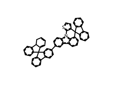 C1=CCC2C(=C1)C1(c3ccccc3-c3ccc(-c4ccc5c(c4)c4cccc6c4n5-c4sccc4C64c5ccccc5-c5ccccc54)cc31)c1ccccc12